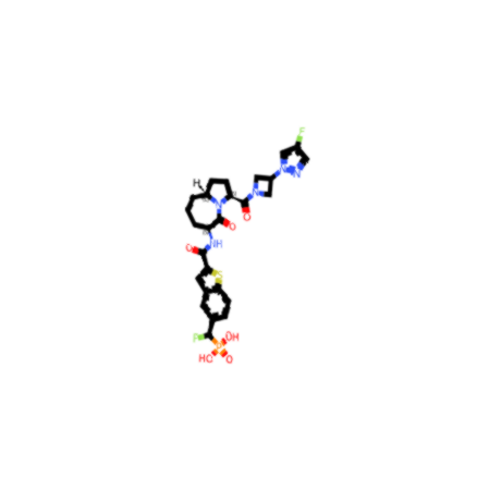 O=C(N[C@H]1CCC[C@H]2CC[C@@H](C(=O)N3CC(n4cc(F)cn4)C3)N2C1=O)c1cc2cc(C(F)P(=O)(O)O)ccc2s1